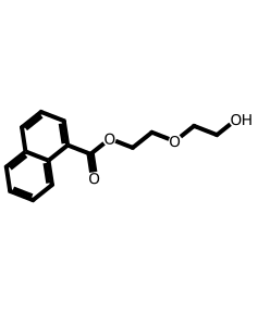 O=C(OCCOCCO)c1cccc2ccccc12